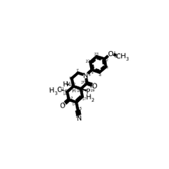 COc1ccc(N2CC[C@@H]3[C@@H](C)C(=O)C(C#N)=C[C@@]3(P)C2=O)cc1